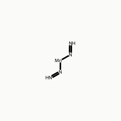 N=[N][Mn][N]=N